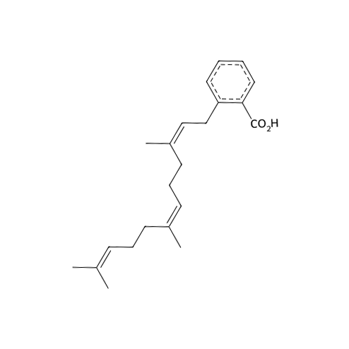 CC(C)=CCCC(C)=CCCC(C)=CCc1ccccc1C(=O)O